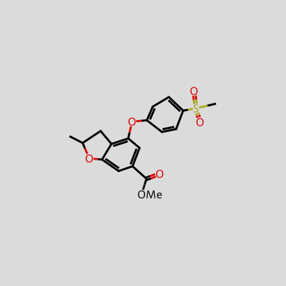 COC(=O)c1cc(Oc2ccc(S(C)(=O)=O)cc2)c2c(c1)OC(C)C2